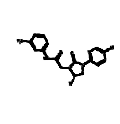 CC(C)[C@H]1CN(c2ccc(Cl)cn2)C(=O)N1CC(=O)Nc1cccc(C(F)(F)F)c1